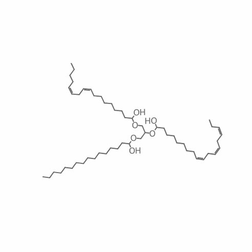 CC/C=C\C/C=C\C/C=C\CCCCCCCC(O)OC(COC(O)CCCCCCC/C=C\C/C=C\CCCC)COC(O)CCCCCCCCCCCCCCC